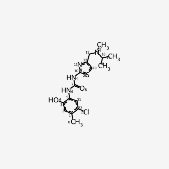 Cc1cc(O)c(NC(=O)Nc2nc(CN(C)C(C)C)cs2)cc1Cl